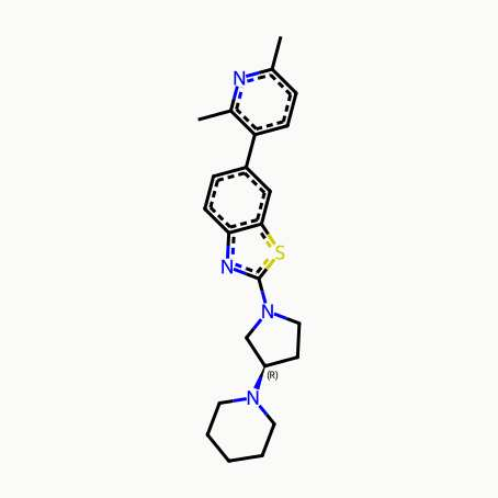 Cc1ccc(-c2ccc3nc(N4CC[C@@H](N5CCCCC5)C4)sc3c2)c(C)n1